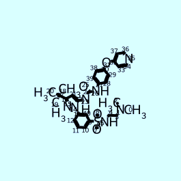 CN(C)CCNS(=O)(=O)c1cccc(-n2nc(C(C)(C)C)cc2NC(=O)Nc2ccc(Oc3ccncc3)cc2)c1